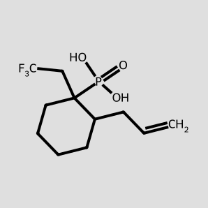 C=CCC1CCCCC1(CC(F)(F)F)P(=O)(O)O